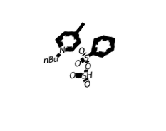 CCCC[n+]1ccc(C)cc1.O=[SH](=O)OS(=O)(=O)c1ccccc1